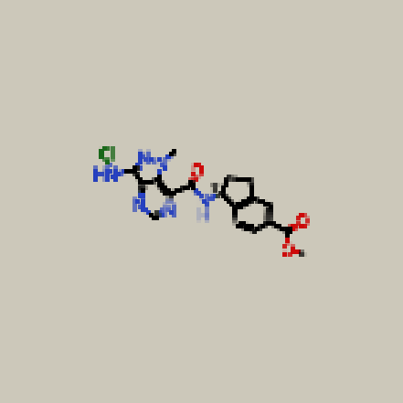 COC(=O)c1ccc2c(c1)CC[C@@H]2NC(=O)c1ncnc2c(NCl)nn(C)c12